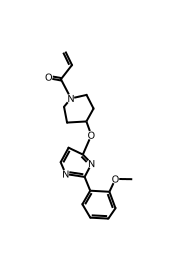 C=CC(=O)N1CCC(Oc2ccnc(-c3ccccc3OC)n2)CC1